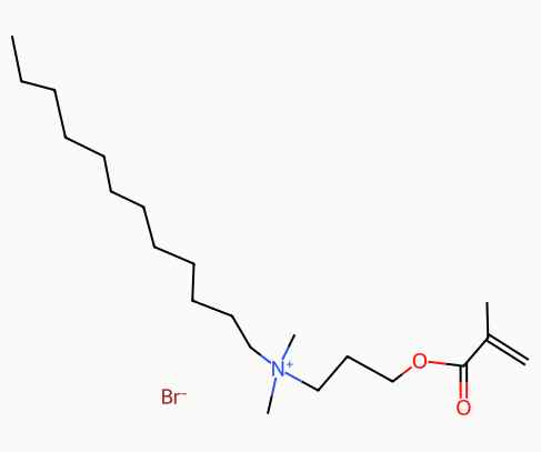 C=C(C)C(=O)OCCC[N+](C)(C)CCCCCCCCCCCC.[Br-]